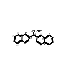 C[CH]CC[CH]C(c1ccc2ccccc2c1)c1ccc2ccccc2c1